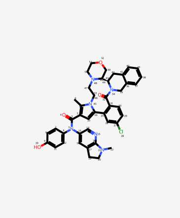 Cc1c(C(=O)N(c2ccc(O)cc2)c2cnc3c(c2)CCN3C)cc(-c2cc(Cl)ccc2C(=O)N2Cc3ccccc3C[C@@H]2C)n1CCN1CCOCC1